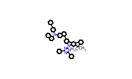 CC1(C)c2ccccc2-c2cc3c4cc(-c5cccc6cc(N(c7ccc(-c8ccccc8)cc7)c7cccc8ccccc78)ccc56)ccc4n(-c4nc(-c5ccccc5)nc(-c5ccccc5)n4)c3cc21